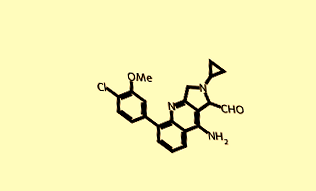 COc1cc(-c2cccc3c(N)c4c(nc23)CN(C2CC2)C4C=O)ccc1Cl